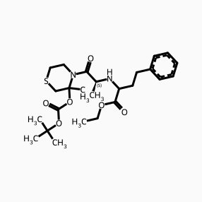 CCOC(=O)C(CCc1ccccc1)N[C@@H](C)C(=O)N1CCSCC1(C)OC(=O)OC(C)(C)C